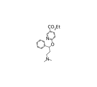 CCOC(=O)c1ccc(OC(CCN(C)C)c2ccccc2)nc1